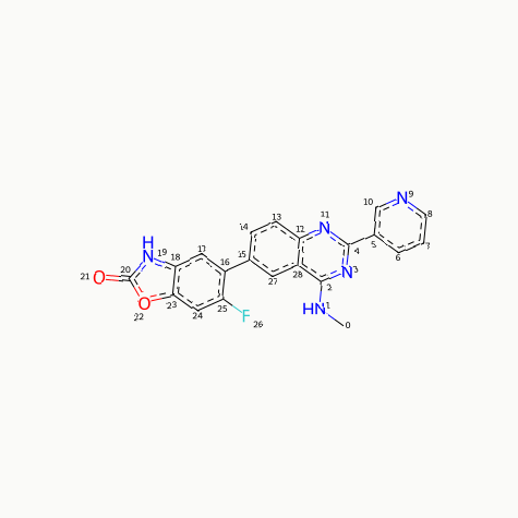 CNc1nc(-c2cccnc2)nc2ccc(-c3cc4[nH]c(=O)oc4cc3F)cc12